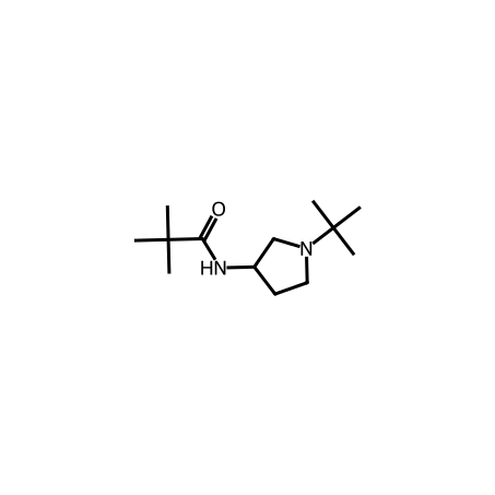 CC(C)(C)C(=O)NC1CCN(C(C)(C)C)C1